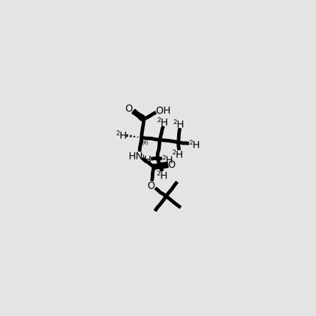 [2H]C([2H])([2H])C([2H])(C([2H])([2H])[2H])[C@@]([2H])(NC(=O)OC(C)(C)C)C(=O)O